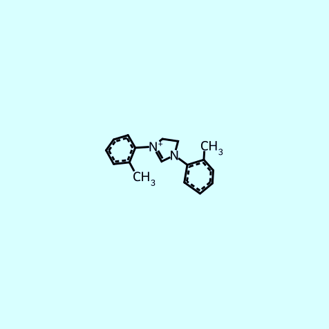 Cc1ccccc1N1C=[N+](c2ccccc2C)CC1